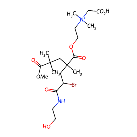 COC(=O)C(C)(C)CC(C)(CC(Br)C(=O)NCCO)C(=O)OCC[N+](C)(C)CC(=O)O